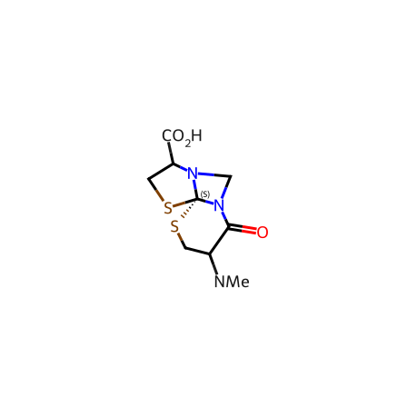 CNC1CS[C@]23SCC(C(=O)O)N2CN3C1=O